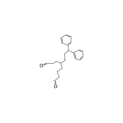 O=[C]CCCC(CC[C]=O)CCC(c1ccccc1)c1ccccc1